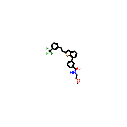 COCCNC(=O)c1cccc(-c2cccc3cc(CCc4cccc(C(F)(F)F)c4)sc23)c1